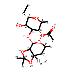 CC[C@@H]1OC(C)[C@H](OC(C)=O)C(O[C@@H]2OC(C)[C@H](C)[C@@H]3OC(C)(C)OC23)[C@H]1O